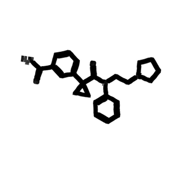 NC(=O)c1cccc(C2(C(=O)N(CCN3CCCC3)c3ccccc3)CC2)c1